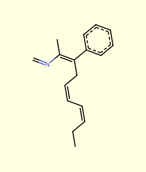 C=N/C(C)=C(\C/C=C\C=C/CC)c1ccccc1